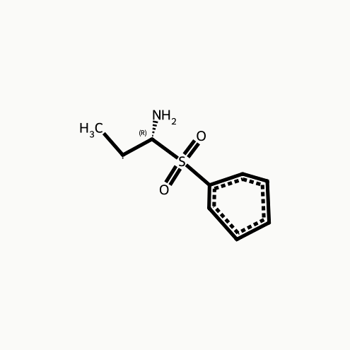 C[CH][C@H](N)S(=O)(=O)c1ccccc1